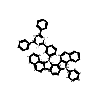 c1ccc(-c2nc(-c3ccccc3)nc(-c3cccc(-n4c5c6ccccc6ccc5c5ccc6c(c7ccc8ccccc8c7n6-c6ccccc6)c54)c3)n2)cc1